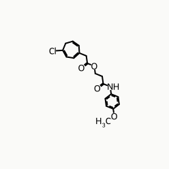 COc1ccc(NC(=O)CCOC(=O)CC2=CC=C(Cl)CC=C2)cc1